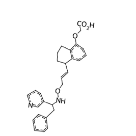 O=C(O)COc1cccc2c1CCCC2/C=C/CONC(Cc1ccccc1)c1cccnc1